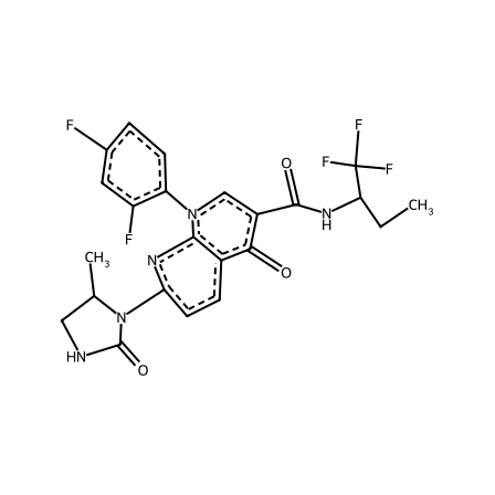 CCC(NC(=O)c1cn(-c2ccc(F)cc2F)c2nc(N3C(=O)NCC3C)ccc2c1=O)C(F)(F)F